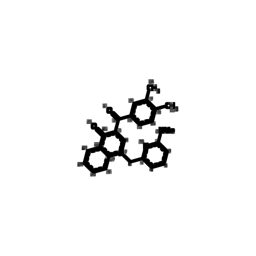 CNc1cccc(Cn2cc(C(=O)c3ccc(C)c(C)c3)c(=O)c3ccccc32)n1